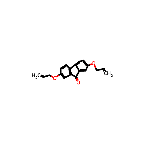 C=CCOc1ccc2c(c1)C(=O)c1cc(OCC=C)ccc1-2